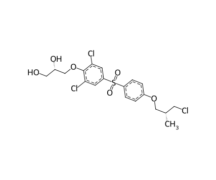 C[C@@H](CCl)COc1ccc(S(=O)(=O)c2cc(Cl)c(OC[C@@H](O)CO)c(Cl)c2)cc1